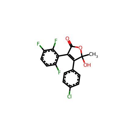 CC1(O)OC(=O)C(c2c(F)ccc(F)c2F)=C1c1ccc(Cl)cc1